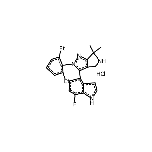 CCc1cccc(CC)c1-n1nc2c(c1-c1ccc(F)c3[nH]ccc13)CNC2(C)C.Cl